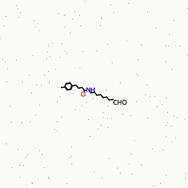 Cc1ccc(CCCC(=O)NCCCCCCCCC=O)cc1